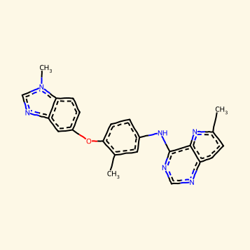 Cc1ccc2ncnc(Nc3ccc(Oc4ccc5c(c4)ncn5C)c(C)c3)c2n1